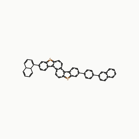 C1=CC2C=CC=C(c3ccc4c(c3)sc3ccc5c(ccc6sc7cc(-c8ccc(-c9ccc%10ccccc%10c9)cc8)ccc7c65)c34)C2C=C1